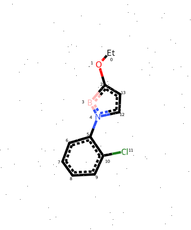 CCOc1bn(-c2ccccc2Cl)cc1